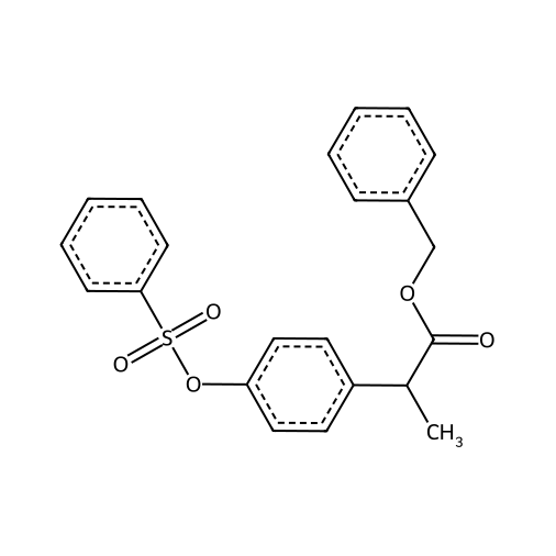 CC(C(=O)OCc1ccccc1)c1ccc(OS(=O)(=O)c2ccccc2)cc1